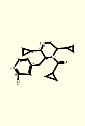 O=C(C1CC1)N1C(C2CC2)CNC(C2[CH]C2)C1Cc1ccnc(Cl)c1